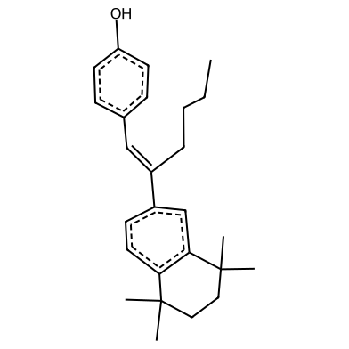 CCCCC(=Cc1ccc(O)cc1)c1ccc2c(c1)C(C)(C)CCC2(C)C